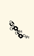 CC(C)Oc1cccc(C(=O)Nc2ccc(N3CCOCC3)c(Cl)c2)c1